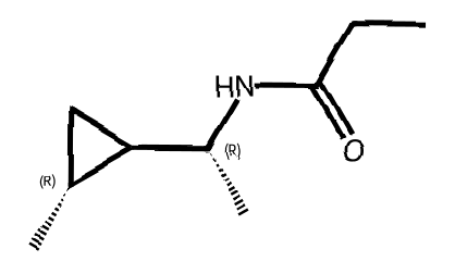 CCC(=O)N[C@H](C)C1C[C@H]1C